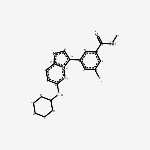 CNC(=O)c1cc(F)cc(-c2cnc3ccc(OC4CCCCC4)nn23)c1